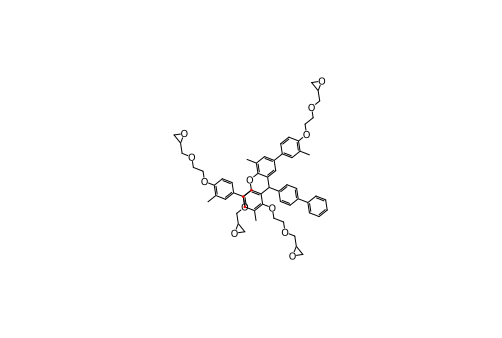 Cc1cc(-c2cc(C)c(OCCOCC3CO3)c(C(c3ccc(-c4ccccc4)cc3)c3cc(-c4ccc(OCCOCC5CO5)c(C)c4)cc(C)c3OCCOCC3CO3)c2)ccc1OCCOCC1CO1